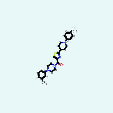 O=C(c1csc(C2CCN(c3ccc(C(F)(F)F)cc3)CC2)n1)N1CCN(c2cccc(C(F)(F)F)c2)CC1